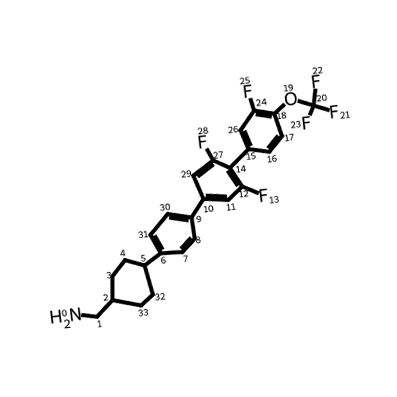 NCC1CCC(c2ccc(-c3cc(F)c(-c4ccc(OC(F)(F)F)c(F)c4)c(F)c3)cc2)CC1